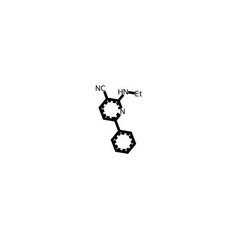 CCNc1nc(-c2ccccc2)ccc1C#N